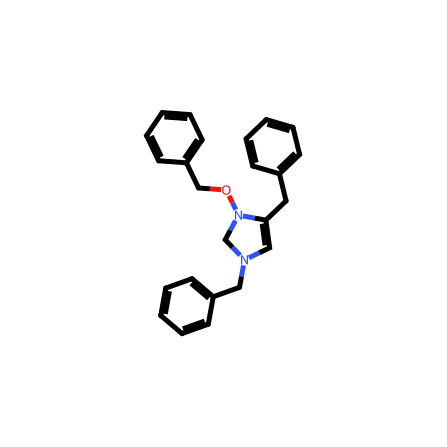 C1=C(Cc2ccccc2)N(OCc2ccccc2)CN1Cc1ccccc1